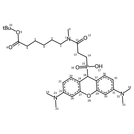 CN(CCCCCC(=O)OC(C)(C)C)C(=O)CCP(=O)(O)C1c2ccc(N(C)C)cc2Oc2cc(N(C)C)ccc21